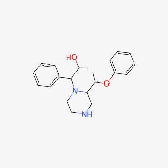 CC(O)C(c1ccccc1)N1CCNCC1C(C)Oc1ccccc1